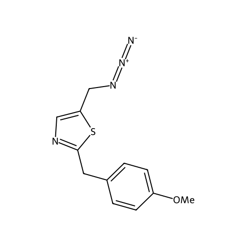 COc1ccc(Cc2ncc(CN=[N+]=[N-])s2)cc1